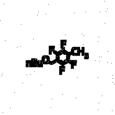 CCCCOCc1c(F)c(F)c(C)c(F)c1F